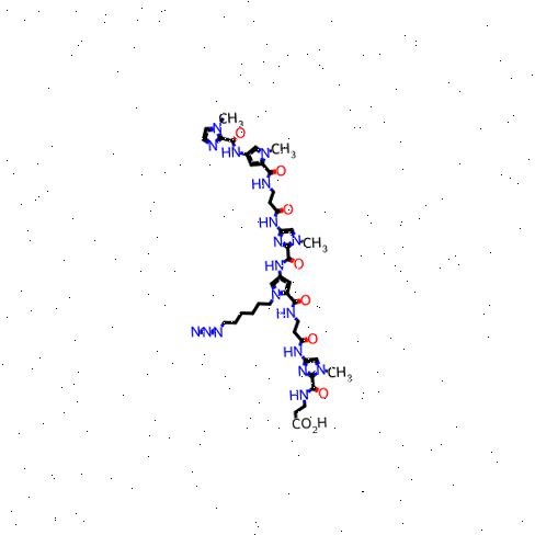 Cn1cc(NC(=O)c2nccn2C)cc1C(=O)NCCC(=O)Nc1cn(C)c(C(=O)Nc2cc(C(=O)NCCC(=O)Nc3cn(C)c(C(=O)NCCC(=O)O)n3)n(CCCCCCN=[N+]=[N-])c2)n1